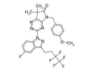 COc1ccc(CN2C(=O)C(C)(C)c3nnc(-n4nc(CCC(F)(F)C(F)(F)F)c5cc(F)ccc54)nc32)cc1